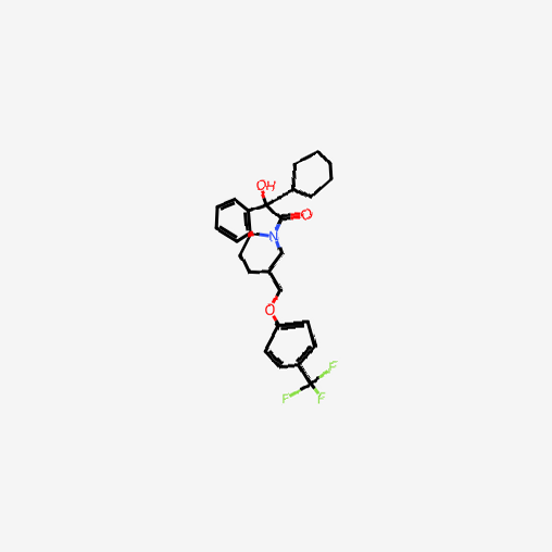 O=C(N1CCCC(COc2ccc(C(F)(F)F)cc2)C1)C(O)(c1ccccc1)C1CCCCC1